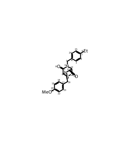 CCc1ccc(CN2C(=O)C3SSC2C(=O)N3Cc2ccc(OC)cc2)cc1